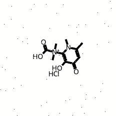 Cc1cc(=O)c(O)c([N+](C)(C)C(=O)O)n1C.Cl